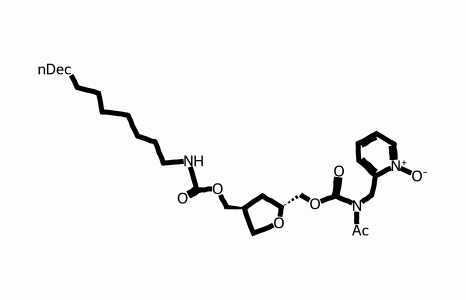 CCCCCCCCCCCCCCCCCNC(=O)OC[C@@H]1CO[C@@H](COC(=O)N(Cc2cccc[n+]2[O-])C(C)=O)C1